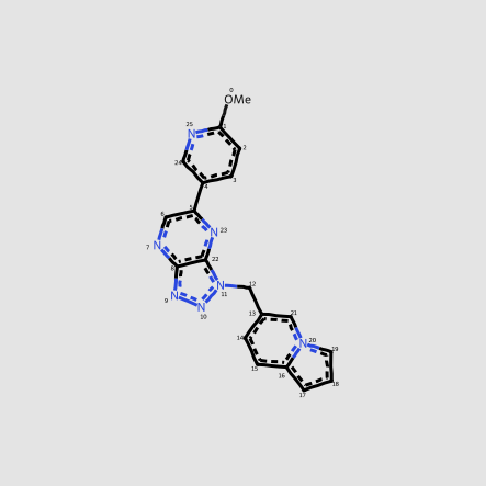 COc1ccc(-c2cnc3nnn(Cc4ccc5cccn5c4)c3n2)cn1